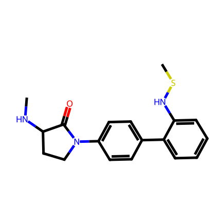 CNC1CCN(c2ccc(-c3ccccc3NSC)cc2)C1=O